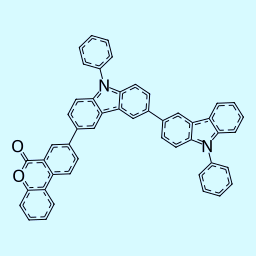 O=c1oc2ccccc2c2ccc(-c3ccc4c(c3)c3cc(-c5ccc6c(c5)c5ccccc5n6-c5ccccc5)ccc3n4-c3ccccc3)cc12